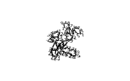 C1=Cc2c(n(-c3ccccc3)c3ccc(C4=NC(n5c6ccccc6c6cc7ccccc7cc65)Nc5sc6ccccc6c54)cc23)CC1